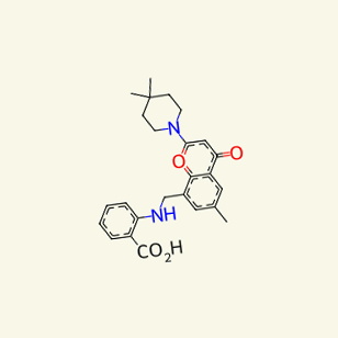 Cc1cc(CNc2ccccc2C(=O)O)c2oc(N3CCC(C)(C)CC3)cc(=O)c2c1